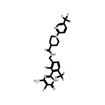 Cc1nc(-c2c(C(F)(F)F)ccc(CNC(=O)C3CCN(c4ccc(C(F)(F)F)cn4)CC3)c2F)[nH]c(=O)c1F